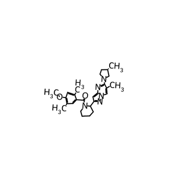 COc1cc(C)c(C(=O)N2CCCCC2c2cc3nc(N4CC[C@H](C)C4)c(C)cn3n2)cc1C